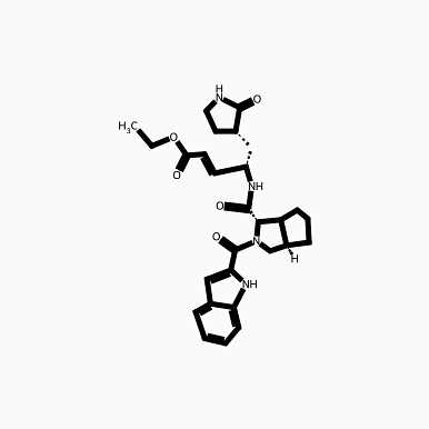 CCOC(=O)/C=C/[C@H](C[C@@H]1CCNC1=O)NC(=O)[C@@H]1C2CCC[C@H]2CN1C(=O)c1cc2ccccc2[nH]1